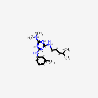 Cc1cccc(Nc2nc(NCCCC(C)C)nc(N(C)C)n2)c1